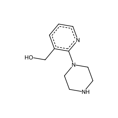 OCc1cccnc1N1CCNCC1